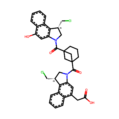 O=C(O)Cc1cc2c(c3ccccc13)[C@H](CCl)CN2C(=O)C12CCCC(C(=O)N3C[C@@H](CCl)c4c3cc(O)c3ccccc43)(C1)C2